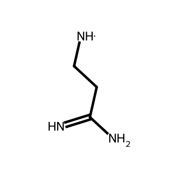 [NH]CCC(=N)N